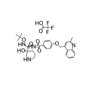 Cc1cc(COc2ccc(S(=O)(=O)N[C@@H]3CCNC[C@]3(O)C(=O)NOC(C)(C)C)cc2)c2ccccc2n1.O=C(O)C(F)(F)F